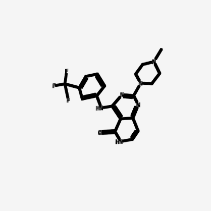 CN1CCN(c2nc(Nc3cccc(C(F)(F)F)c3)c3c(=O)[nH]ccc3n2)CC1